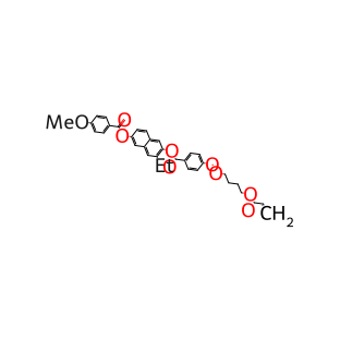 C=CC(=O)OCCCCOOc1ccc(C(=O)Oc2cc3ccc(OC(=O)c4ccc(OC)cc4)cc3cc2CC)cc1